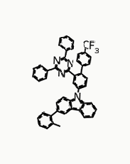 Cc1ccccc1-c1ccc2c(c1)c1ccccc1n2-c1ccc(-c2ccc(C(F)(F)F)cc2)c(-c2nc(-c3ccccc3)nc(-c3ccccc3)n2)c1